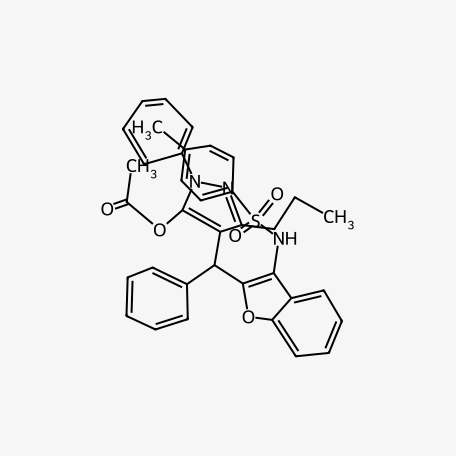 CCCc1nn(-c2ccccc2)c(OC(C)=O)c1C(c1ccccc1)c1oc2ccccc2c1NS(=O)(=O)c1ccc(C)cc1